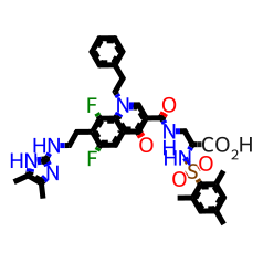 Cc1cc(C)c(S(=O)(=O)NC(CNC(=O)c2cn(CCc3ccccc3)c3c(F)c(CCNc4nc(C)c(C)[nH]4)c(F)cc3c2=O)C(=O)O)c(C)c1